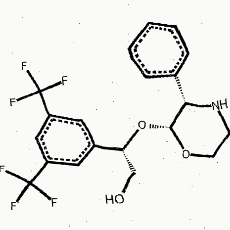 OC[C@@H](O[C@H]1OCCN[C@H]1c1ccccc1)c1cc(C(F)(F)F)cc(C(F)(F)F)c1